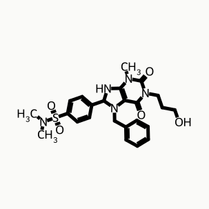 CN(C)S(=O)(=O)c1ccc(C2Nc3c(c(=O)n(CCCO)c(=O)n3C)N2Cc2ccccc2)cc1